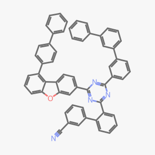 N#Cc1cccc(-c2ccccc2-c2nc(-c3cccc(-c4cccc(-c5ccccc5)c4)c3)nc(-c3ccc4c(c3)oc3cccc(-c5ccc(-c6ccccc6)cc5)c34)n2)c1